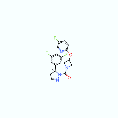 O=C(N1CC(Oc2ccc(F)cn2)C1)N1N=CC[C@H]1c1cc(F)cc(F)c1